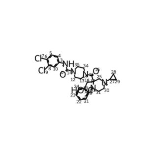 O=C(Nc1ccc(Cl)c(Cl)c1)N1CCN(C(=O)C2(Cc3ccccc3)CN(C3CC3)CCN2C(=O)O)CC1